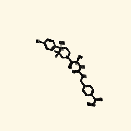 COC(=O)c1ccc(CNC(=O)N[C@@H](C(=O)N2CC[C@](O)(c3ccc(Cl)cc3)C(C)(C)C2)C(C)C)cc1